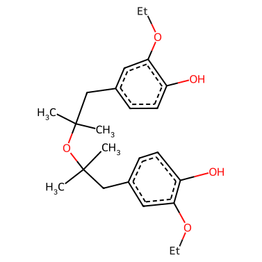 CCOc1cc(CC(C)(C)OC(C)(C)Cc2ccc(O)c(OCC)c2)ccc1O